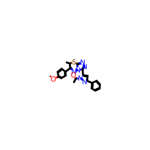 COc1ccc(C2=Nn3c(nnc3-c3cc(-c4ccccc4)nn3C(C)=O)SC2C)cc1